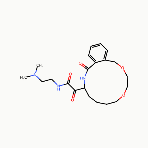 CN(C)CCNC(=O)C(=O)C1CCCCOCCOCc2ccccc2C(=O)N1